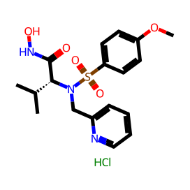 COc1ccc(S(=O)(=O)N(Cc2ccccn2)[C@@H](C(=O)NO)C(C)C)cc1.Cl